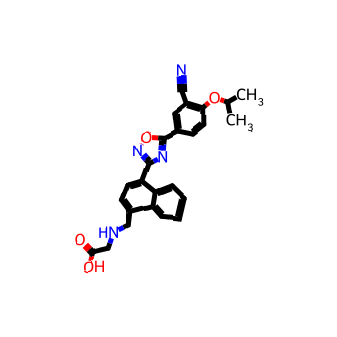 CC(C)Oc1ccc(-c2nc(-c3ccc(CNCC(=O)O)c4ccccc34)no2)cc1C#N